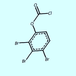 O=C(Cl)Oc1ccc(Br)c(Br)c1Br